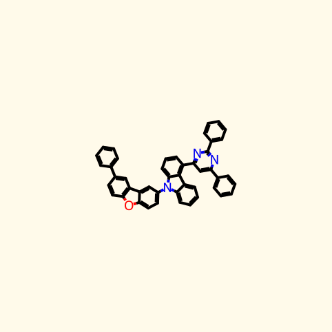 c1ccc(-c2ccc3oc4ccc(-n5c6ccccc6c6c(-c7cc(-c8ccccc8)nc(-c8ccccc8)n7)cccc65)cc4c3c2)cc1